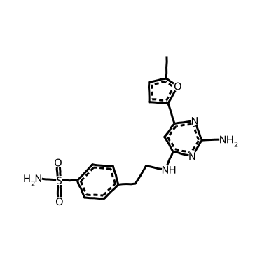 Cc1ccc(-c2cc(NCCc3ccc(S(N)(=O)=O)cc3)nc(N)n2)o1